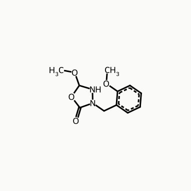 COc1ccccc1CN1NC(OC)OC1=O